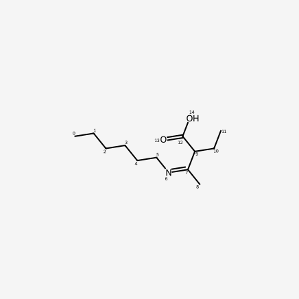 CCCCCCN=C(C)C(CC)C(=O)O